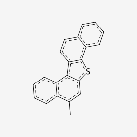 Cc1cc2sc3c4ccccc4ccc3c2c2ccccc12